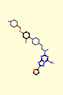 CN(CCN1CCN(c2ccc(OCC3CCNCC3)cc2F)CC1)c1nc(N)n2nc(-c3ccco3)nc2n1